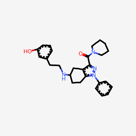 O=C(c1nn(-c2ccccc2)c2c1CC(NCCc1cccc(O)c1)CC2)N1CCCCC1